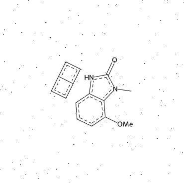 COc1cccc2[nH]c(=O)n(C)c12.c1cc2ccc1-2